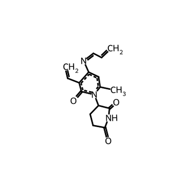 C=C/C=N\c1cc(C)n(C2CCC(=O)NC2=O)c(=O)c1C=C